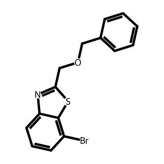 Brc1cccc2nc(COCc3ccccc3)sc12